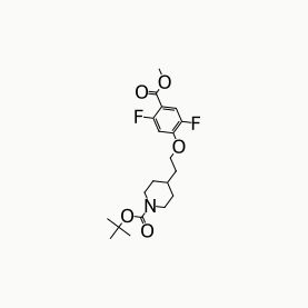 COC(=O)c1cc(F)c(OCCC2CCN(C(=O)OC(C)(C)C)CC2)cc1F